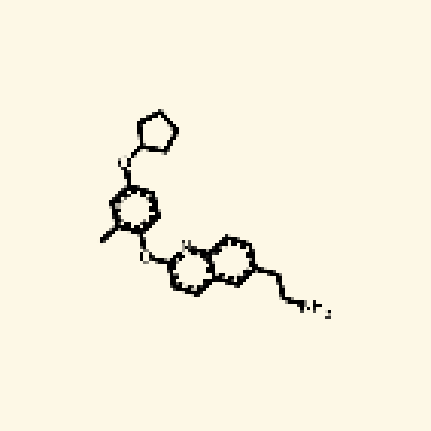 Cc1cc(OC2CCCC2)ccc1Oc1ccc2cc(CCN)ccc2n1